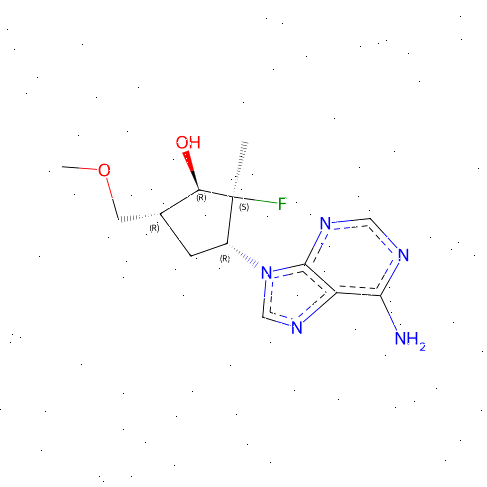 COC[C@H]1C[C@@H](n2cnc3c(N)ncnc32)[C@](C)(F)[C@@H]1O